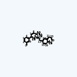 Cc1cccc(-c2ccc3nnc(Cc4ccc5ncccc5c4)n3n2)c1